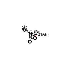 COCCOCCC(C/C=C/CB1OC(C)(C)C(C)(C)O1)(N=C(c1ccccc1)c1ccccc1)C(=O)OC(C)(C)C